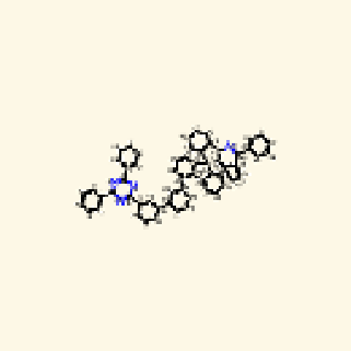 c1ccc(-c2nc(-c3ccccc3)nc(-c3cccc(-c4cccc(-c5cccc6c5-c5ccccc5C65c6ccccc6-c6nc(-c7ccccc7)c7ccccc7c65)c4)c3)n2)cc1